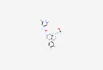 COc1cc(NC(=O)N[C@@H]2CC[C@@]3(c4ccc(OC)c(OC)c4)CCN(C)[C@H]3C2)cc(Cl)n1.O=C(O)C(F)(F)F